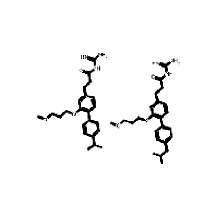 COCCCOc1cc(CCC(=O)NC(=N)N)ccc1-c1ccc(C(C)C)cc1.COCCCOc1cc(CCC(=O)NC(=N)N)ccc1-c1ccc(CC(C)C)cc1